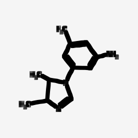 CC1N=CN(c2cc(N)cc(C(F)(F)F)c2)C1C